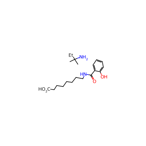 CCC(C)(C)N.O=C(O)CCCCCCCNC(=O)c1ccccc1O